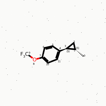 C[C@H]1C[C@@H]1c1ccc(OC(F)(F)F)cc1